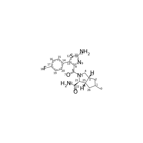 CC1C[C@H]2CN(C(=O)c3nc(N)sc3-c3ccc(F)cc3)[C@H](C(N)=O)[C@H]2C1